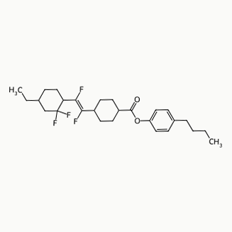 CCCCc1ccc(OC(=O)C2CCC(/C(F)=C(\F)C3CCC(CC)CC3(F)F)CC2)cc1